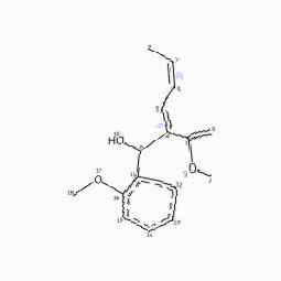 C=C(OC)/C(=C\C=C/C)C(O)c1ccccc1OC